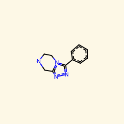 c1ccc(-c2nnc3n2CC[N]C3)cc1